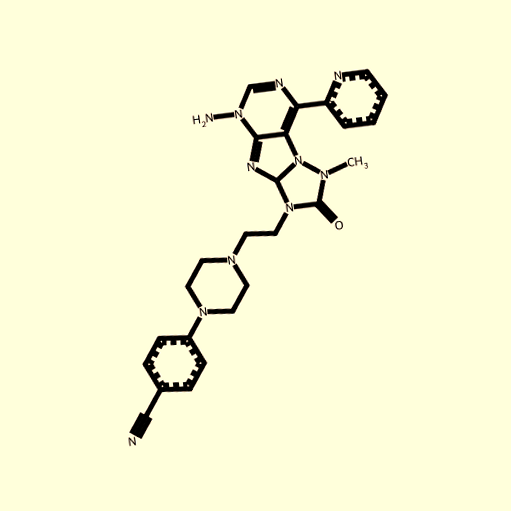 CN1C(=O)N(CCN2CCN(c3ccc(C#N)cc3)CC2)C2N=C3C(=C(c4ccccn4)N=CN3N)N21